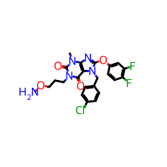 Cn1c(=O)n(CCCON)c(=O)c2c1nc(Oc1ccc(F)c(F)c1)n2Cc1ccc(Cl)cc1